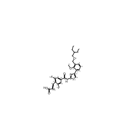 CCC(CC)COCc1cccc(-c2csc(NC(=O)c3cc(F)c(/C=C(\C)C(=O)O)c(F)c3)n2)c1OC